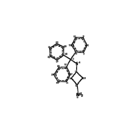 NC1CC(SC(c2ccccc2)(c2ccccc2)c2ccccc2)C1